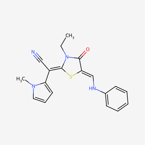 CCn1c(=C(C#N)c2cccn2C)sc(=CNc2ccccc2)c1=O